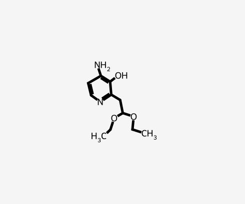 CCOC(Cc1nccc(N)c1O)OCC